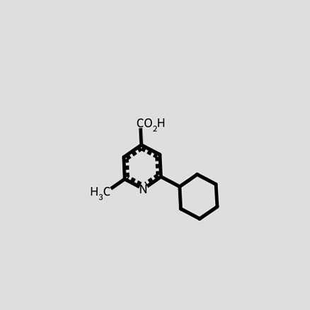 Cc1cc(C(=O)O)cc(C2CCCCC2)n1